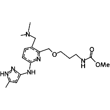 COC(=O)NCCCOCc1nc(Nc2cc(C)[nH]n2)ccc1CN(C)C